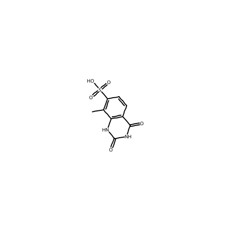 Cc1c(S(=O)(=O)O)ccc2c(=O)[nH]c(=O)[nH]c12